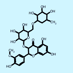 COc1cc(C2Oc3cc(O)cc(O)c3C(=O)C2OC2OC(COC3CC(C)C(O)C(O)C3O)C(O)C(O)C2O)ccc1O